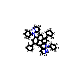 C1=C(c2ccccc2)c2ccc3c(N(c4ccccc4)c4ccccn4)cc(-c4ccccc4)c4c3c2C(=CC4)C1N(c1ccccc1)c1ccccn1